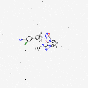 C=Nc1ncn(C)c1C(=O)N(C)Cc1nc([C@@H]2[C@H]3C=C(c4ccc(C#N)c(F)c4)C[C@H]32)no1